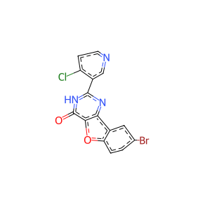 O=c1[nH]c(-c2cnccc2Cl)nc2c1oc1ccc(Br)cc12